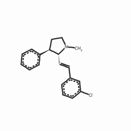 CN1CC[C@H](c2ccccc2)[C@H]1/C=C/c1cccc(Cl)c1